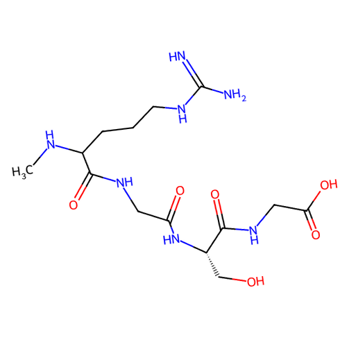 CNC(CCCNC(=N)N)C(=O)NCC(=O)N[C@@H](CO)C(=O)NCC(=O)O